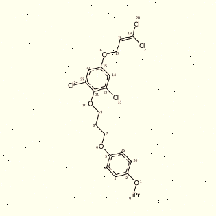 CC(C)Oc1ccc(OCCCOc2c(Cl)cc(OCC=C(Cl)Cl)cc2Cl)cc1